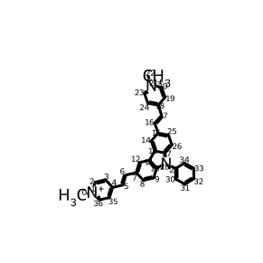 C[n+]1ccc(/C=C/c2ccc3c(c2)c2cc(/C=C/c4cc[n+](C)cc4)ccc2n3-c2ccccc2)cc1